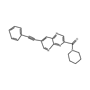 O=C(c1cnc2cc(C#Cc3ccccc3)cnc2n1)N1CCCCC1